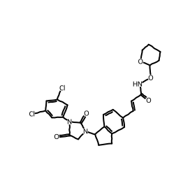 O=C(/C=C/c1ccc2c(c1)CCC2N1CC(=O)N(c2cc(Cl)cc(Cl)c2)C1=O)NOC1CCCCO1